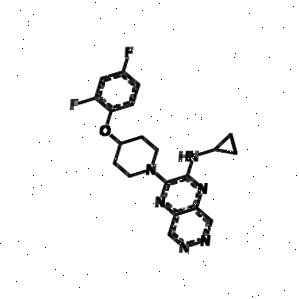 Fc1ccc(OC2CCN(c3nc4cnncc4nc3NC3CC3)CC2)c(F)c1